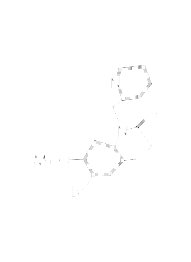 COc1cc2c(cc1Br)OCC(=O)N2Cc1ccccn1